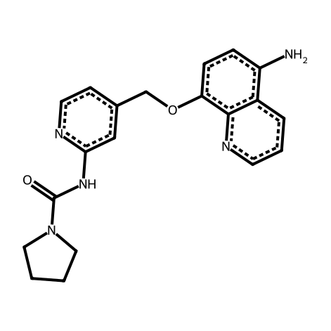 Nc1ccc(OCc2ccnc(NC(=O)N3CCCC3)c2)c2ncccc12